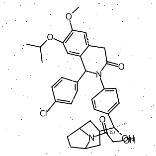 COc1cc2c(cc1OC(C)C)C(c1ccc(Cl)cc1)N(c1ccc([C@@](C)(O)C3CC4CCC(C3)N4C(=O)CO)cc1)C(=O)C2